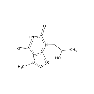 Cc1csc2c1c(=O)[nH]c(=O)n2CC(C)O